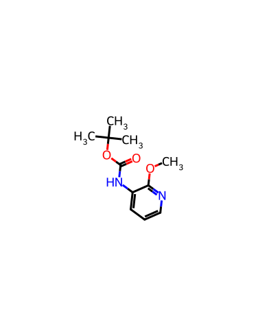 COc1ncccc1NC(=O)OC(C)(C)C